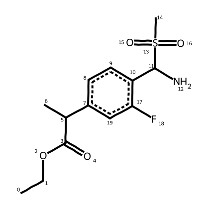 CCOC(=O)C(C)c1ccc(C(N)S(C)(=O)=O)c(F)c1